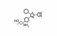 Cn1cc(-c2nc(-c3ccc([C@]4(N)C[C@@](C)(O)C4)cc3)c(-c3ccccc3)s2)cn1